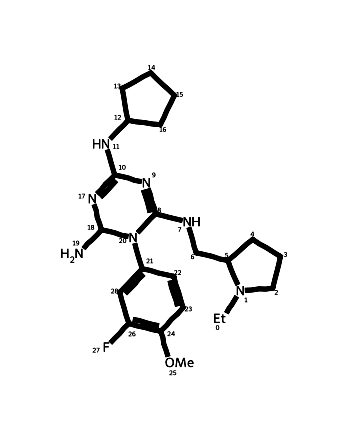 CCN1CCCC1CNC1=NC(NC2CCCC2)=NC(N)N1c1ccc(OC)c(F)c1